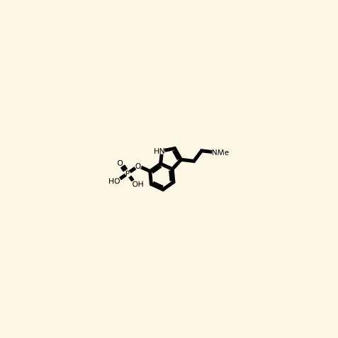 CNCCc1c[nH]c2c(OP(=O)(O)O)cccc12